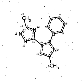 Cc1nc(-c2ccccc2)c(-c2nnn(C)n2)s1